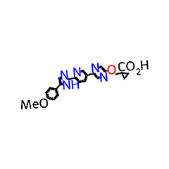 COc1ccc(-c2cnc(-c3ccc(-c4cnc(OCC5(C(=O)O)CC5)cn4)cn3)[nH]2)cc1